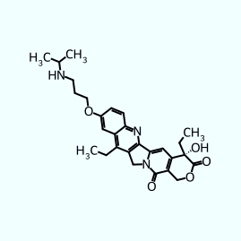 CCc1c2c(nc3ccc(OCCCNC(C)C)cc13)-c1cc3c(c(=O)n1C2)COC(=O)[C@]3(O)CC